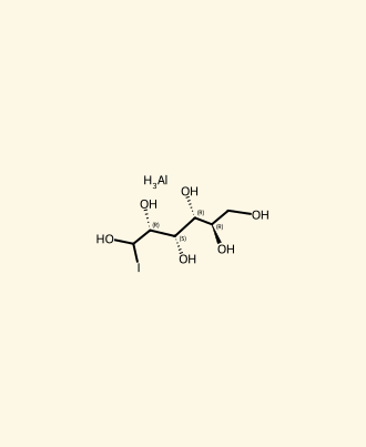 OC[C@@H](O)[C@@H](O)[C@H](O)[C@@H](O)C(O)I.[AlH3]